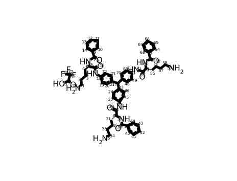 NCCCC[C@@H](NC(=O)c1ccccc1)C(=O)Nc1ccc(C(c2ccc(NC(=O)[C@@H](CCCCN)NC(=O)c3ccccc3)cc2)c2ccc(NC(=O)[C@@H](CCCCN)NC(=O)c3ccccc3)cc2)cc1.O=C(O)C(F)(F)F